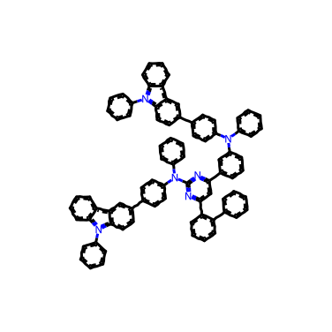 c1ccc(-c2ccccc2-c2cc(-c3cccc(N(c4ccccc4)c4ccc(-c5ccc6c(c5)c5ccccc5n6-c5ccccc5)cc4)c3)nc(N(c3ccccc3)c3ccc(-c4ccc5c(c4)c4ccccc4n5-c4ccccc4)cc3)n2)cc1